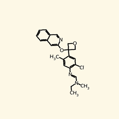 CCN(C)C=Nc1cc(C)c(C2(Oc3cc4ccccc4cn3)COC2)cc1Cl